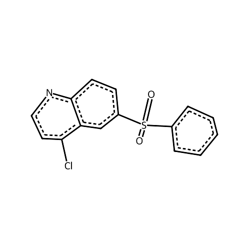 O=S(=O)(c1ccccc1)c1ccc2nccc(Cl)c2c1